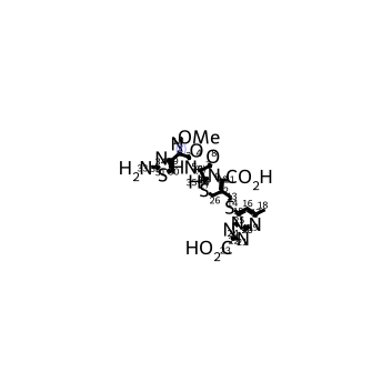 CO/N=C(\C(=O)N[C@@H]1C(=O)N2C(C(=O)O)=C(CSc3cc(C)nc4nc(C(=O)O)nn34)CS[C@H]12)c1csc(N)n1